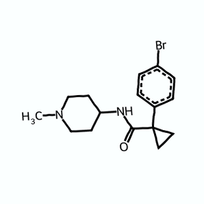 CN1CCC(NC(=O)C2(c3ccc(Br)cc3)CC2)CC1